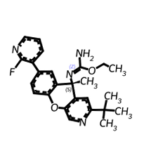 CCO/C(N)=N\[C@@]1(C)c2cc(-c3cccnc3F)ccc2Oc2cnc(C(C)(C)C)cc21